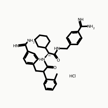 Cc1ccccc1C(Cc1ccc(C(=N)N)cc1)C(=O)N[C@H](C(=O)NCc1ccc(C(=N)N)cc1)C1CCCCC1.Cl